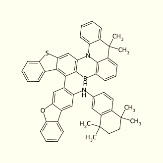 CC1(C)CCC(C)(C)c2cc(Nc3cc4c(cc3-c3c5c(cc6sc7ccccc7c36)N3c6ccccc6C(C)(C)c6cccc(c63)B5)oc3ccccc34)ccc21